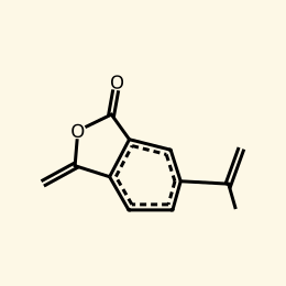 C=C(C)c1ccc2c(c1)C(=O)OC2=C